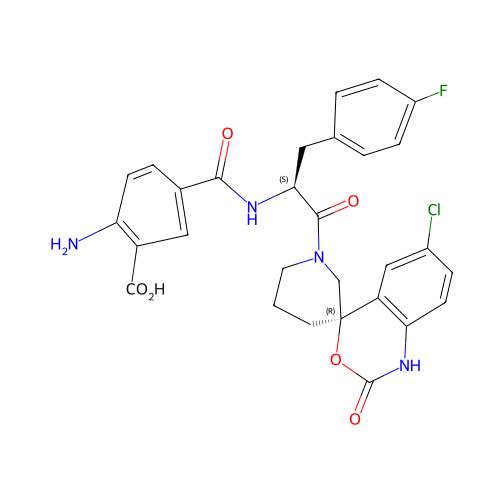 Nc1ccc(C(=O)N[C@@H](Cc2ccc(F)cc2)C(=O)N2CCC[C@@]3(C2)OC(=O)Nc2ccc(Cl)cc23)cc1C(=O)O